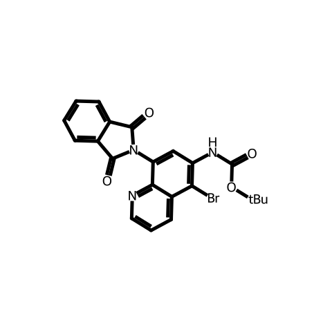 CC(C)(C)OC(=O)Nc1cc(N2C(=O)c3ccccc3C2=O)c2ncccc2c1Br